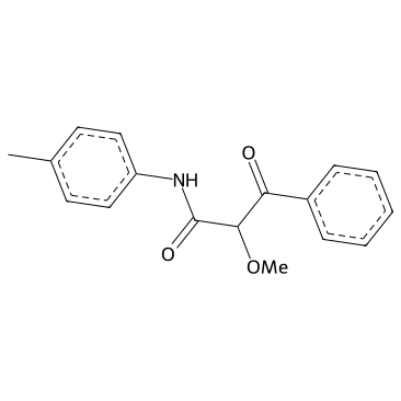 COC(C(=O)Nc1ccc(C)cc1)C(=O)c1ccccc1